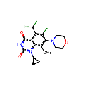 COc1c(N2CCOCC2)c(F)c(C(F)F)c2c(=O)[nH]c(=O)n(C3CC3)c12